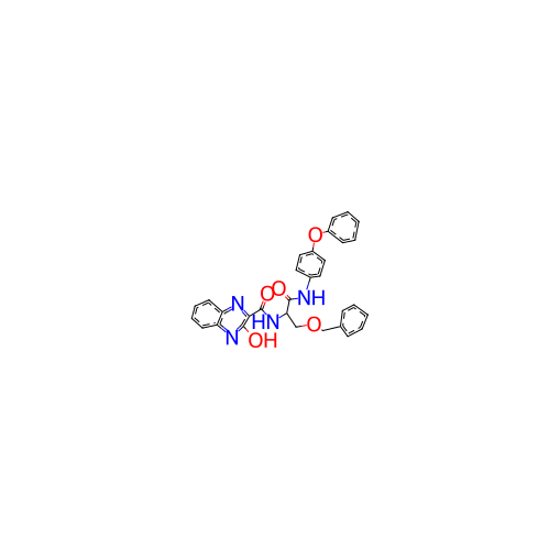 O=C(NC(COCc1ccccc1)C(=O)Nc1ccc(Oc2ccccc2)cc1)c1nc2ccccc2nc1O